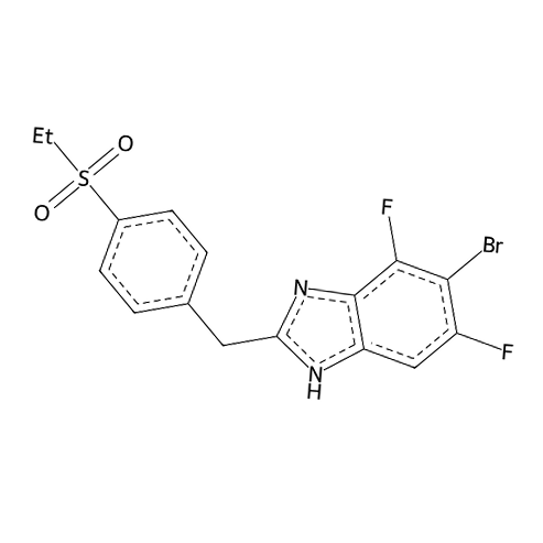 CCS(=O)(=O)c1ccc(Cc2nc3c(F)c(Br)c(F)cc3[nH]2)cc1